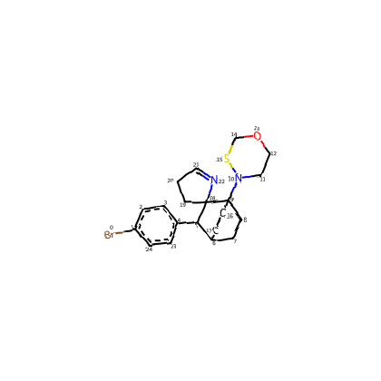 Brc1ccc(C2C3CCC(N4CCOCS4)(CC3)C23CCC=N3)cc1